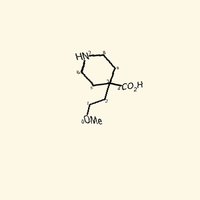 COCCC1(C(=O)O)CCNCC1